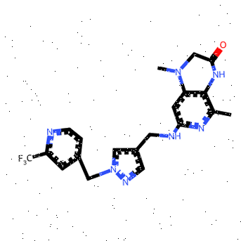 Cc1nc(NCc2cnn(Cc3ccnc(C(F)(F)F)c3)c2)cc2c1NC(=O)CN2C